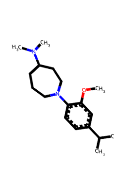 COc1cc(C(C)C)ccc1N1CCCC(N(C)C)CC1